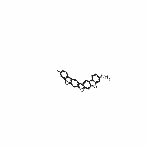 Cc1ccc2c(c1)oc1cc3oc4cc5oc6cc(N)ccc6c5cc4c3cc12